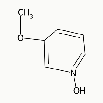 COc1ccc[n+](O)c1